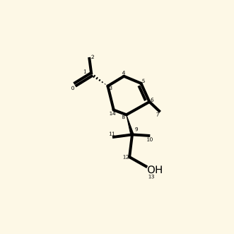 C=C(C)[C@@H]1CC=C(C)[C@@H](C(C)(C)CO)C1